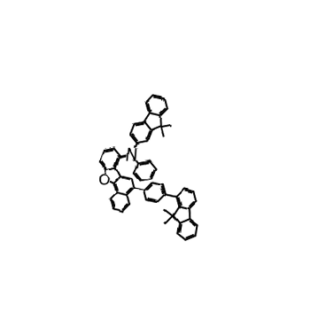 CC1(C)c2ccccc2-c2ccc(N(c3ccccc3)c3cccc4oc5c6ccccc6c(-c6ccc(-c7cccc8c7C(C)(C)c7ccccc7-8)cc6)cc5c34)cc21